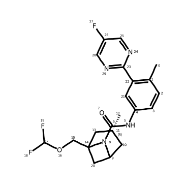 Cc1ccc(NC(=O)N2C3C[C@@H](C)CC2(COC(F)F)C3)cc1-c1ncc(F)cn1